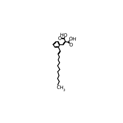 CCCCCCCCCCCC=Cc1ccccc1C=C(C(=O)O)C(=O)O